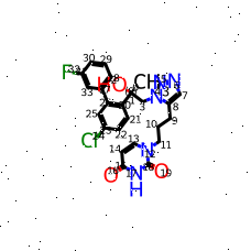 C[C@@](O)(Cn1nncc1CCCn1ccc(=O)[nH]c1=O)c1ccc(Cl)cc1-c1cccc(F)c1